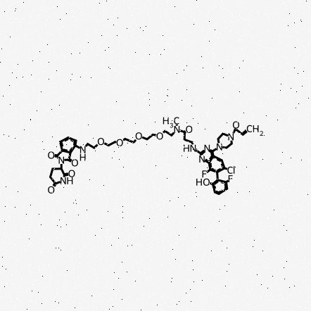 C=CC(=O)N1CCN(c2nc(NCCC(=O)N(C)CCOCCOCCOCCOCCNc3cccc4c3C(=O)N(C3CCC(=O)NC3=O)C4=O)nc3c(F)c(-c4c(O)cccc4F)c(Cl)cc23)CC1